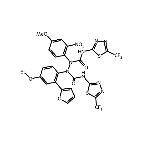 CCOc1ccc(N(C(=O)Nc2nnc(C(F)(F)F)s2)N(C(=O)Nc2nnc(C(F)(F)F)s2)c2ccc(OC)cc2[N+](=O)[O-])c(-c2ccco2)c1